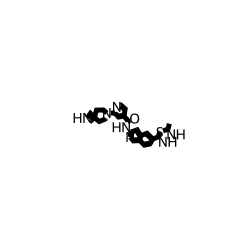 CC(=N)SC(=N)c1ccc2cnc(NC(=O)c3ccnc(N4CCC5(CC4)CNC5)c3)cc2c1